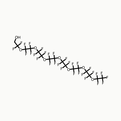 OCC(F)(F)OC(F)(F)C(F)(F)OC(F)(F)C(F)(F)OC(F)(F)C(F)(F)OC(F)(F)C(F)(F)OC(F)(F)C(F)(F)OC(F)(F)C(F)(F)OC(F)(F)C(F)(F)F